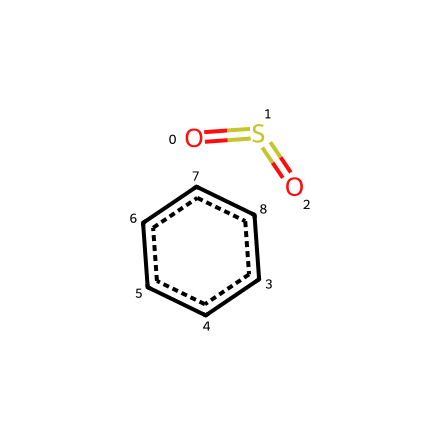 O=S=O.c1ccccc1